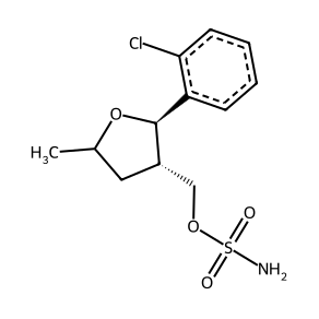 CC1C[C@@H](COS(N)(=O)=O)[C@H](c2ccccc2Cl)O1